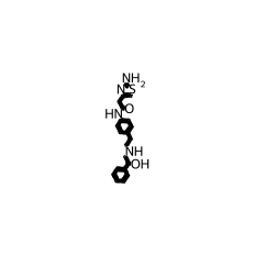 Nc1nc(CC(=O)Nc2ccc(CCNCC(O)c3ccccc3)cc2)cs1